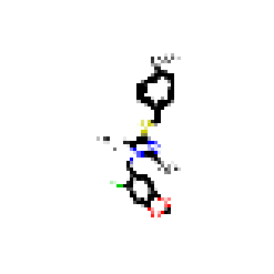 CCCCc1nc(SCc2ccc(OC)cc2)c(C(=O)OCC)n1Cc1cc2c(cc1Cl)OCO2